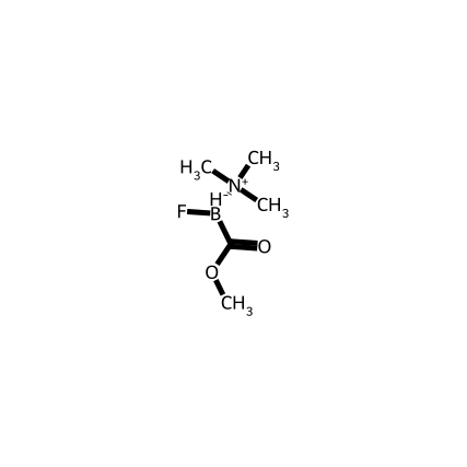 COC(=O)[BH-](F)[N+](C)(C)C